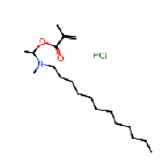 C=C(C)C(=O)OC(C)N(C)CCCCCCCCCCCC.Cl